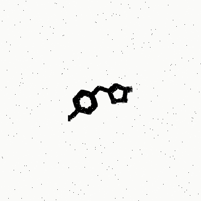 Fc1ccc(CC2=CN[N]O2)cc1